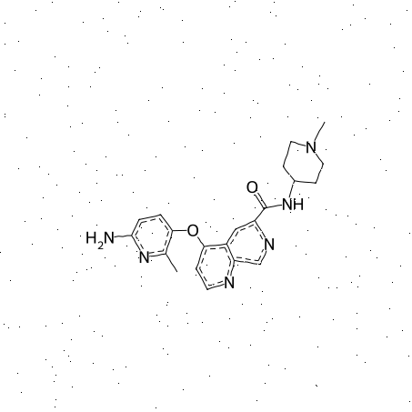 Cc1nc(N)ccc1Oc1ccnc2cnc(C(=O)NC3CCN(C)CC3)cc12